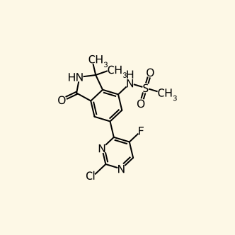 CC1(C)NC(=O)c2cc(-c3nc(Cl)ncc3F)cc(NS(C)(=O)=O)c21